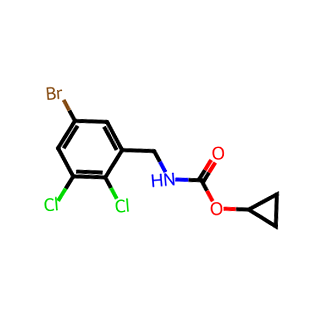 O=C(NCc1cc(Br)cc(Cl)c1Cl)OC1CC1